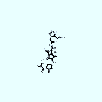 CNCc1nnnn1CC(=O)N[C@H](C)[C@H]1C(=O)N2C(C(=O)O)=C(S[C@@H]3CN[C@H](C(=O)N(C)C)C3)[C@H](C)[C@H]12